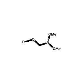 CCOC[SiH](OC)OC